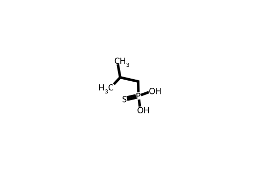 CC(C)CP(O)(O)=S